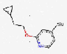 CC(C)(C)c1ccnc(OCCC2CC2)c1